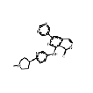 CN1CCC(c2ccc(Nc3nc(-c4cncnc4)cc4c3C(=O)[N]C=C4)cn2)CC1